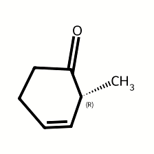 C[C@@H]1C=CCCC1=O